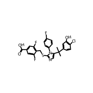 CC(C)(c1ccc(Cl)c(O)c1)c1cnc(SCc2c(F)cc(C(=O)O)cc2F)n1-c1ccc(F)cc1